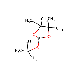 CC(C)(C)OB1OC(C)(C)C(C)(C)O1